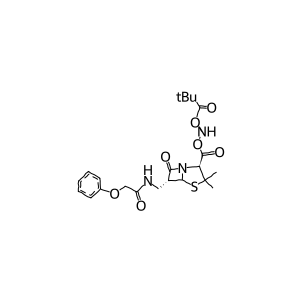 CC(C)(C)C(=O)ONOC(=O)[C@@H]1N2C(=O)[C@@H](CNC(=O)COc3ccccc3)C2SC1(C)C